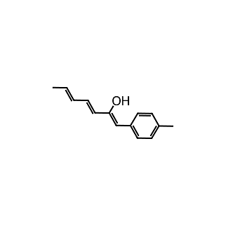 CC=CC=CC(O)=Cc1ccc(C)cc1